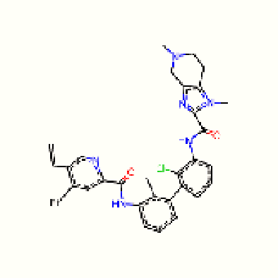 C=Cc1cnc(C(=O)Nc2cccc(-c3cccc(NC(=O)c4nc5c(n4C)CCN(C)C5)c3Cl)c2C)cc1CC